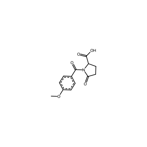 COc1ccc(C(=O)N2C(=O)CCC2C(=O)O)cc1